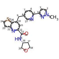 Cn1ccc(-c2ccc(Cc3cc(C(=O)N[C@@H]4CCOC4)nc4ccsc34)cn2)n1